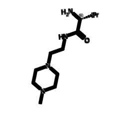 CC(C)[C@@H](N)C(=O)NCCN1CCN(C)CC1